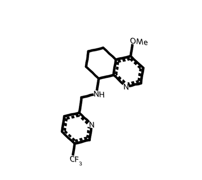 COc1ccnc2c1CCCC2NCc1ccc(C(F)(F)F)cn1